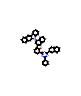 c1ccc(-c2nc(-c3ccc4ccccc4c3)nc(-c3cccc4c3oc3c5ccccc5c(-n5c6ccccc6c6cc7ccccc7cc65)cc43)n2)cc1